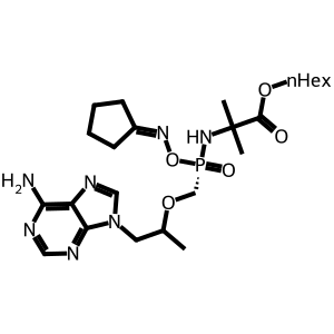 CCCCCCOC(=O)C(C)(C)N[P@](=O)(COC(C)Cn1cnc2c(N)ncnc21)ON=C1CCCC1